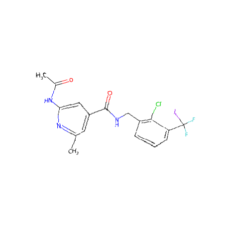 CC(=O)Nc1cc(C(=O)NCc2cccc(C(F)(F)I)c2Cl)cc(C)n1